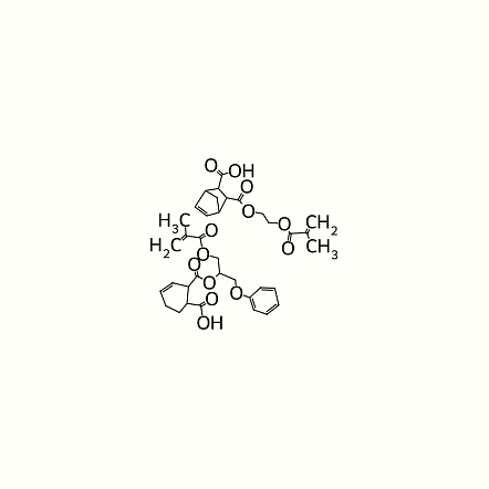 C=C(C)C(=O)OCC(COc1ccccc1)OC(=O)C1C=CCCC1C(=O)O.C=C(C)C(=O)OCCOC(=O)C1C2C=CC(C2)C1C(=O)O